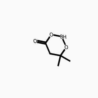 CC1(C)CC(=O)OBO1